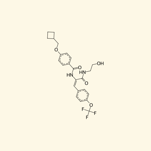 O=C(NCCO)/C(=C\c1ccc(OC(F)(F)F)cc1)NC(=O)c1ccc(OCC2CCC2)cc1